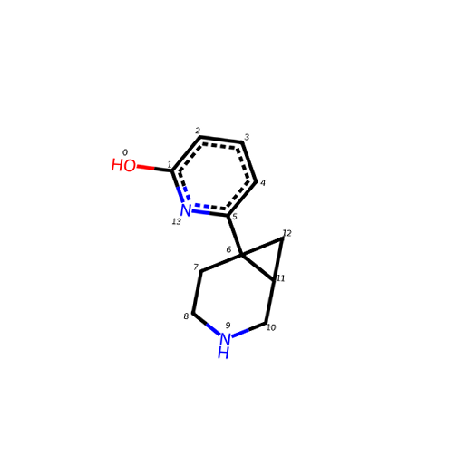 Oc1cccc(C23CCNCC2C3)n1